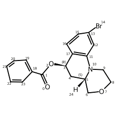 O=C(O[C@@H]1C[C@H]2COCCN2c2cc(Br)ccc21)c1ccccc1